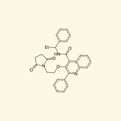 CCC(NC(=O)c1c(OCCN2C(=O)CCC2=O)c(-c2ccccc2)nc2ccccc12)c1ccccc1